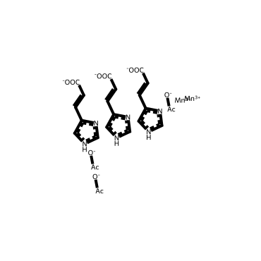 CC(=O)[O-].CC(=O)[O-].CC(=O)[O-].O=C([O-])C=Cc1c[nH]cn1.O=C([O-])C=Cc1c[nH]cn1.O=C([O-])C=Cc1c[nH]cn1.[Mn+3].[Mn+3]